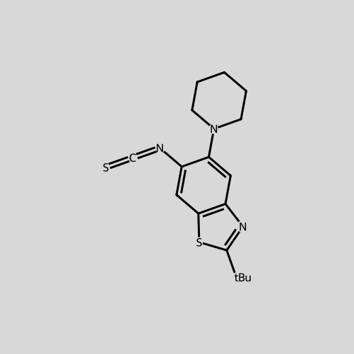 CC(C)(C)c1nc2cc(N3CCCCC3)c(N=C=S)cc2s1